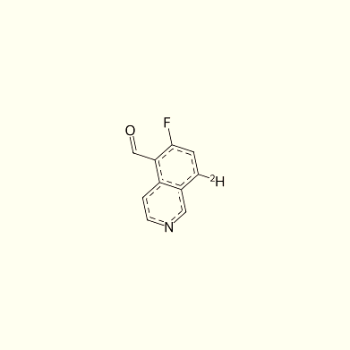 [2H]c1cc(F)c(C=O)c2ccncc12